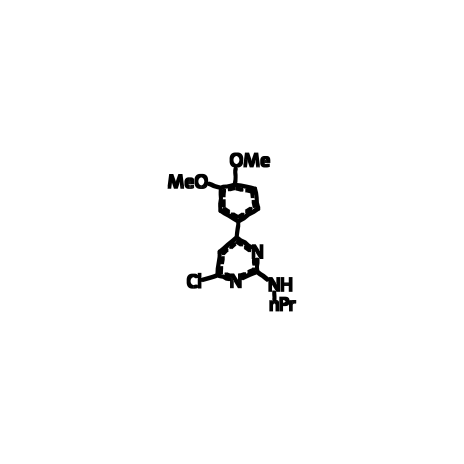 CCCNc1nc(Cl)cc(-c2ccc(OC)c(OC)c2)n1